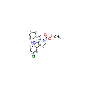 CCOC(=O)N1CCc2c([nH]c3ccc(Cl)cc23)C1Cc1ccccc1